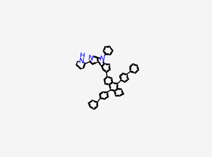 C1=CCNC(c2cc3c4cc(-c5ccc6c(-c7ccc(-c8ccccc8)cc7)c7ccccc7c(-c7ccc(-c8ccccc8)cc7)c6c5)ccc4n(-c4ccccc4)c3cn2)=C1